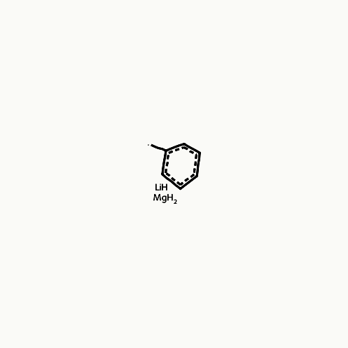 [CH2]c1ccccc1.[LiH].[MgH2]